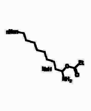 CCCCCCCCCCCCCCCCCC(N)OC(=O)CC.[NaH]